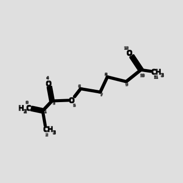 C=C(C)C(=O)OCCCCC(C)=O